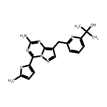 Cc1ccc(-c2nc(N)nc3c(Cc4cccc(C(C)(C)O)n4)cnn23)o1